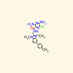 CCn1c(CNC(=O)c2nc(Cl)c(N)nc2N)[n+](C)c2ccc(-c3ccc(C)cc3)cc21